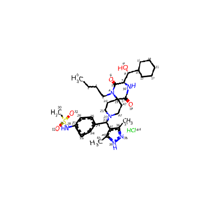 CCCCN1C(=O)[C@@H]([C@H](O)C2CCCCC2)NC(=O)C12CCN(C(c1ccc(NS(C)(=O)=O)cc1)c1c(C)n[nH]c1C)CC2.Cl